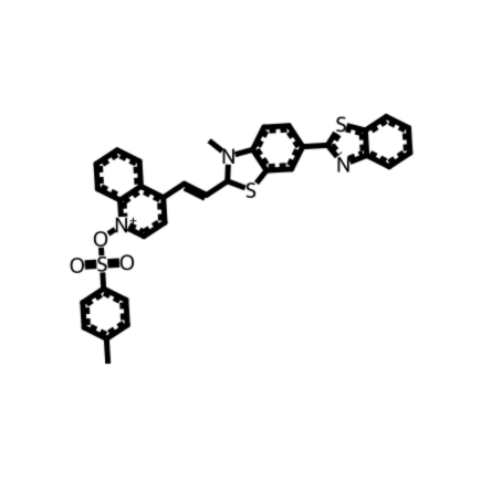 Cc1ccc(S(=O)(=O)O[n+]2ccc(C=CC3Sc4cc(-c5nc6ccccc6s5)ccc4N3C)c3ccccc32)cc1